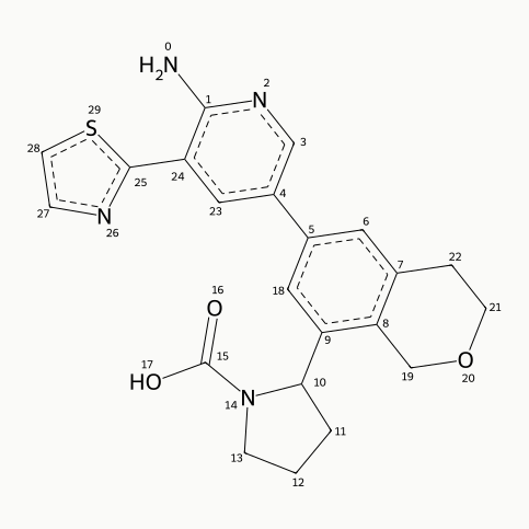 Nc1ncc(-c2cc3c(c(C4CCCN4C(=O)O)c2)COCC3)cc1-c1nccs1